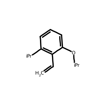 [CH2]C(C)c1cccc(OC(C)C)c1C=C